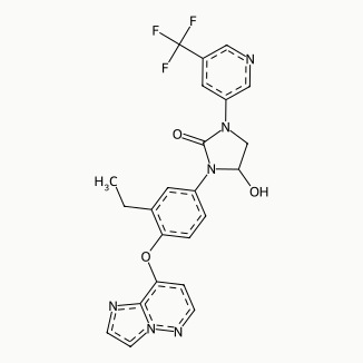 CCc1cc(N2C(=O)N(c3cncc(C(F)(F)F)c3)CC2O)ccc1Oc1ccnn2ccnc12